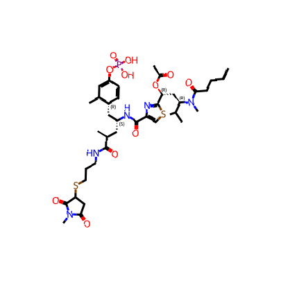 CCCCC(=O)N(C)[C@H](C[C@@H](OC(C)=O)c1nc(C(=O)N[C@H](CC(C)C(=O)NCCCSC2CC(=O)N(C)C2=O)C[C@H]2C=CC(OP(=O)(O)O)=CC2C)cs1)C(C)C